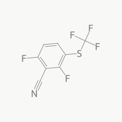 N#Cc1c(F)ccc(SC(F)(F)F)c1F